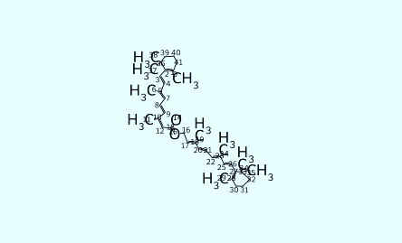 CC1=C(/C=C/C(C)=C/C=C/C(C)=C\C(=O)OC/C=C(C)/C=C/C=C(C)/C=C/C2=C(C)CCCC2(C)C)C(C)(C)CCC1